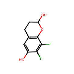 Oc1cc2c(c(F)c1F)OC(O)CC2